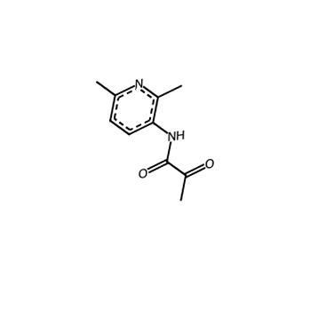 CC(=O)C(=O)Nc1ccc(C)nc1C